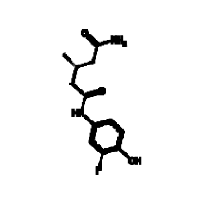 C[C@@H]([CH]C(=O)Nc1ccc(O)c(F)c1)CC(N)=O